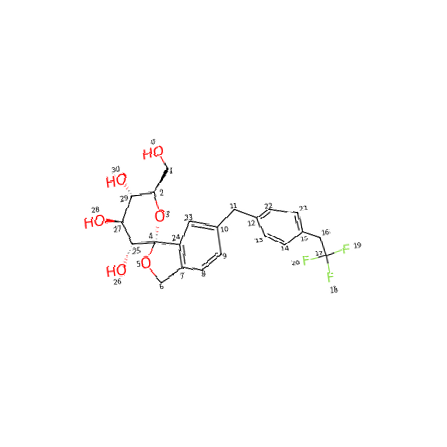 OC[C@H]1O[C@]2(OCc3ccc(Cc4ccc(CC(F)(F)F)cc4)cc32)[C@H](O)[C@@H](O)[C@@H]1O